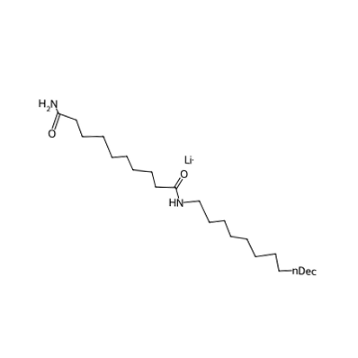 CCCCCCCCCCCCCCCCCCNC(=O)CCCCCCCCC(N)=O.[Li]